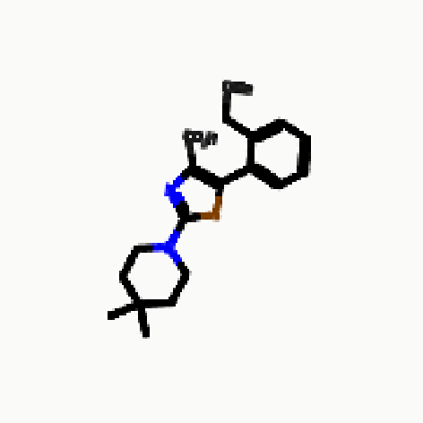 COCc1ccccc1-c1sc(N2CCC(C)(C)CC2)nc1C(=O)O